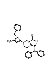 Cc1cc(N2CCN(C(=O)C(c3ccccc3)c3ccccc3)[C@H](C(=O)O)C2)nn1Cc1ccccc1